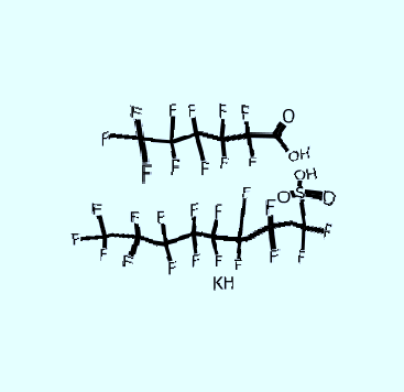 O=C(O)C(F)(F)C(F)(F)C(F)(F)C(F)(F)C(F)(F)F.O=S(=O)(O)C(F)(F)C(F)(F)C(F)(F)C(F)(F)C(F)(F)C(F)(F)C(F)(F)C(F)(F)F.[KH]